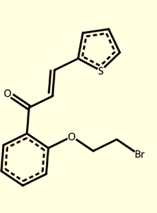 O=C(C=Cc1cccs1)c1ccccc1OCCBr